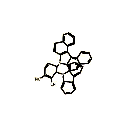 N#CC1=C(C#N)C(n2c3ccccc3c3ccccc32)C(n2c3ccc4ccccc4c3c3c4ccccc4ccc32)C=C1